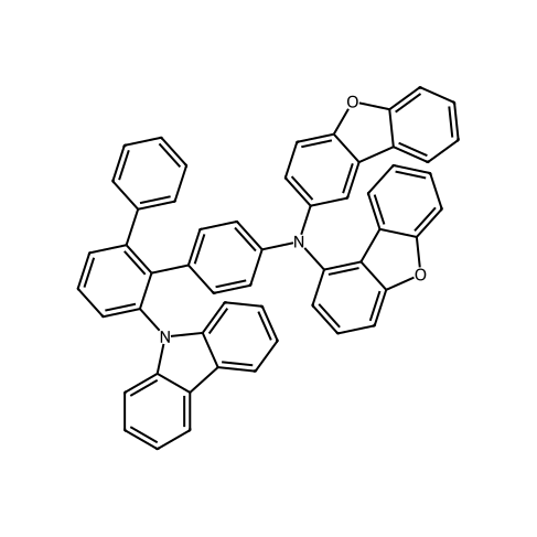 c1ccc(-c2cccc(-n3c4ccccc4c4ccccc43)c2-c2ccc(N(c3ccc4oc5ccccc5c4c3)c3cccc4oc5ccccc5c34)cc2)cc1